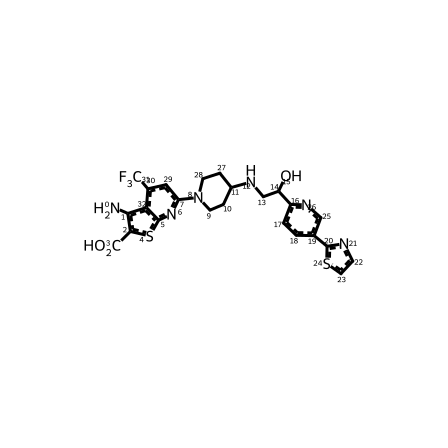 Nc1c(C(=O)O)sc2nc(N3CCC(NCC(O)c4ccc(-c5nccs5)cn4)CC3)cc(C(F)(F)F)c12